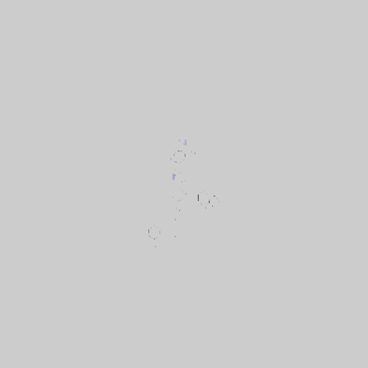 O=C(NS(=O)(=O)c1cc([N+](=O)[O-])c(NCC2CCOCC2)cn1)c1ccc(N2CC3(CC(N4CCCC4c4ccccc4C4CC4)C3)C2)cc1Oc1cnc2[nH]ccc2c1